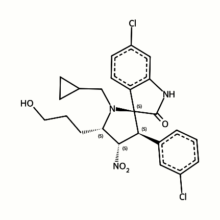 O=C1Nc2cc(Cl)ccc2[C@@]12[C@@H](c1cccc(Cl)c1)[C@H]([N+](=O)[O-])[C@H](CCCO)N2CC1CC1